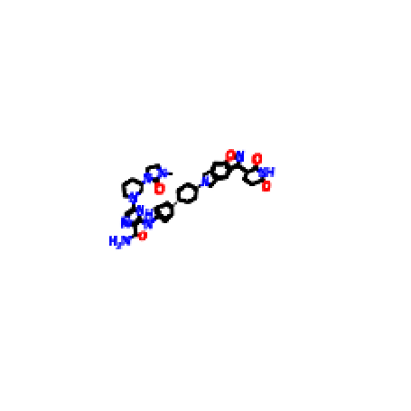 CN1CCN([C@@H]2CCCN(c3cnc(C(N)=O)c(Nc4ccc([C@H]5CC[C@@H](N6Cc7cc8onc(C9CCC(=O)NC9=O)c8cc7C6)CC5)cc4)n3)C2)C1=O